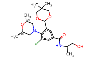 CC(CO)NC(=O)c1cc(F)c(N2C[C@@H](C)O[C@H](C)C2)c(C2OCC(C)(C)CO2)c1